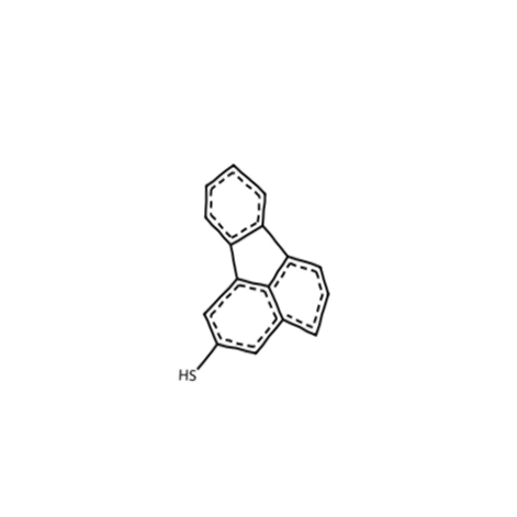 Sc1cc2c3c(cccc3c1)-c1ccccc1-2